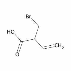 C=CC(CBr)C(=O)O